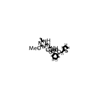 COc1nc(C)nc(NC(=O)NS(=O)(=O)c2ccccc2OCc2cccs2)n1